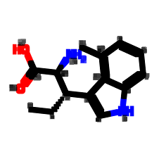 CC[C@@H](c1c[nH]c2cccc(C)c12)[C@H](N)C(=O)O